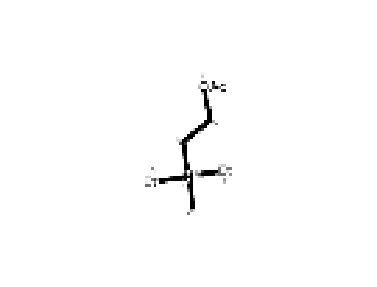 CC[N+](C)(CC)CCOC(C)=O